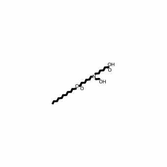 CCCCCCCCCCCOC(=O)CCCCCN(CCO)CCCCCC(=O)O